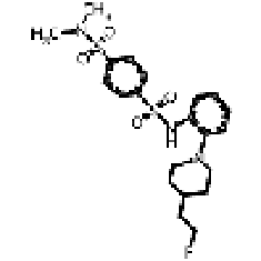 CN(C)S(=O)(=O)c1ccc(S(=O)(=O)Nc2ccccc2N2CCC(CCF)CC2)cc1